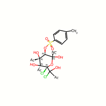 [C-]#[N+][C@@]1(O)O[C@](Cl)(C(O)(Cl)C(C)=O)[C@](O)(C(C)=O)[C@@](O)(C(C)=O)[C@H]1OS(=O)(=O)c1ccc(C)cc1